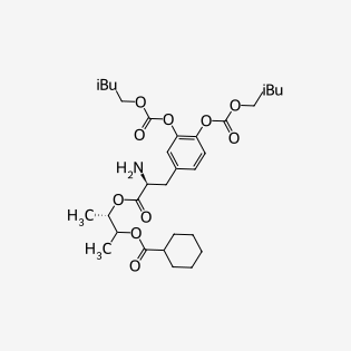 CCC(C)COC(=O)Oc1ccc(C[C@H](N)C(=O)O[C@@H](C)C(C)OC(=O)C2CCCCC2)cc1OC(=O)OCC(C)CC